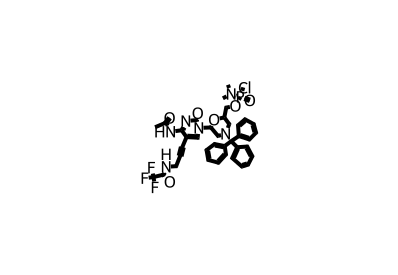 CC(=O)Nc1nc(=O)n(C2CN(C(c3ccccc3)(c3ccccc3)c3ccccc3)CC(COP(=O)(Cl)N(C)C)O2)cc1C#CCNC(=O)C(F)(F)F